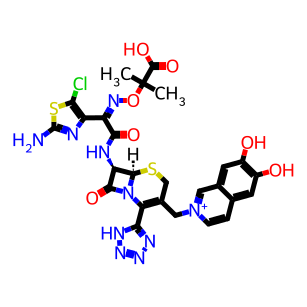 CC(C)(O/N=C(\C(=O)N[C@@H]1C(=O)N2C(c3nnn[nH]3)=C(C[n+]3ccc4cc(O)c(O)cc4c3)CS[C@H]12)c1nc(N)sc1Cl)C(=O)O